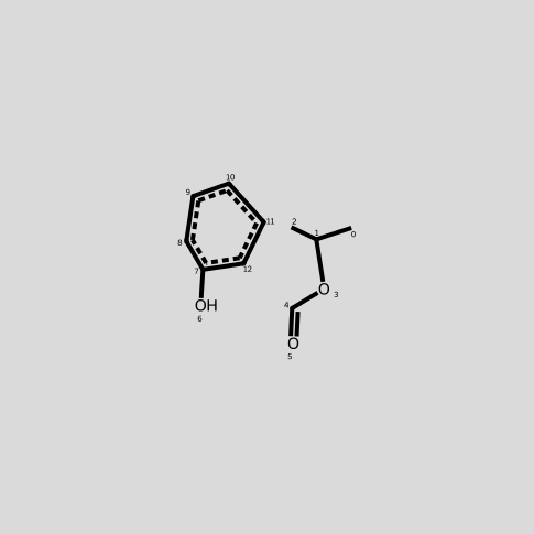 CC(C)OC=O.Oc1ccccc1